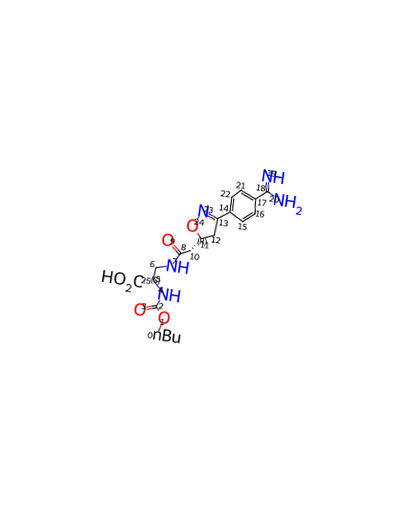 CCCCOC(=O)N[C@@H](CNC(=O)C[C@H]1CC(c2ccc(C(=N)N)cc2)=NO1)C(=O)O